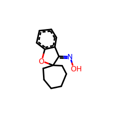 O/N=C1/c2ccccc2OC12CCCCCC2